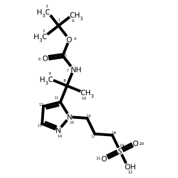 CC(C)(C)OC(=O)NC(C)(C)c1ccnn1CCCS(=O)(=O)O